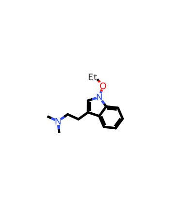 CCOn1cc(CCN(C)C)c2ccccc21